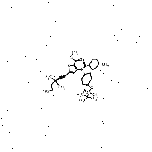 COC(=O)c1sc(C#CC(C)(C)CCO)cc1N(C(=O)[C@H]1CC[C@H](C)CC1)[C@H]1CC[C@H](O[Si](C)(C)C(C)(C)C)CC1